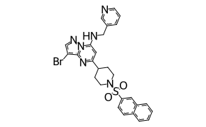 O=S(=O)(c1ccc2ccccc2c1)N1CCC(c2cc(NCc3cccnc3)n3ncc(Br)c3n2)CC1